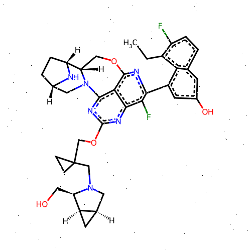 CCc1c(F)ccc2cc(O)cc(-c3nc4c5c(nc(OCC6(CN7C[C@H]8C[C@H]8[C@H]7CO)CC6)nc5c3F)N3C[C@@H]5CC[C@@H](N5)[C@@H]3CO4)c12